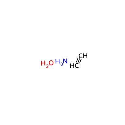 C#C.N.O